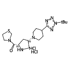 CC(C)(C)n1nnc(C2CCN([C@@H]3CN[C@H](C(=O)N4CCSC4)C3)CC2)n1.Cl.Cl